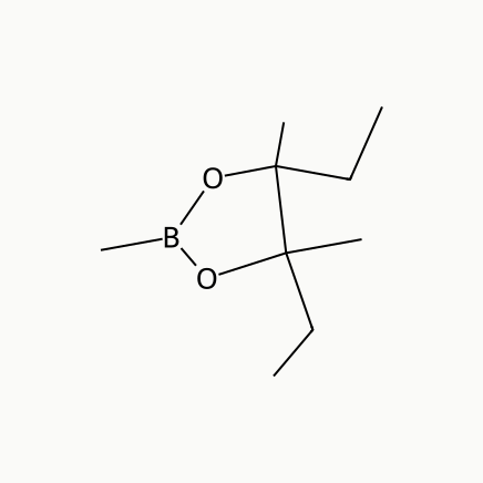 CCC1(C)OB(C)OC1(C)CC